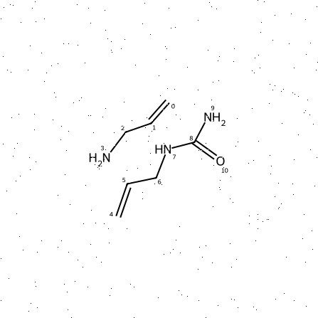 C=CCN.C=CCNC(N)=O